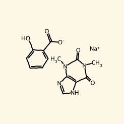 Cn1c(=O)c2[nH]cnc2n(C)c1=O.O=C([O-])c1ccccc1O.[Na+]